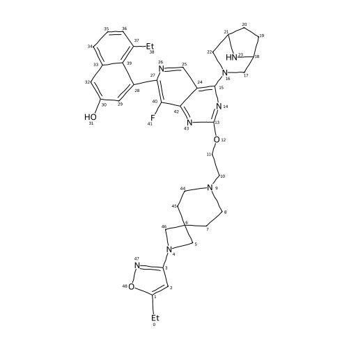 CCc1cc(N2CC3(CCN(CCOc4nc(N5CC6CCC(C5)N6)c5cnc(-c6cc(O)cc7cccc(CC)c67)c(F)c5n4)CC3)C2)no1